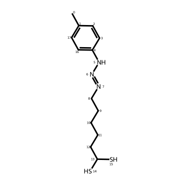 Cc1ccc(NN=NCCCCCC(S)S)cc1